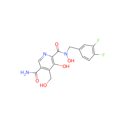 NC(=O)c1cnc(C(=O)N(O)Cc2ccc(F)c(F)c2)c(O)c1CO